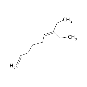 C=CCCCC=C(CC)CC